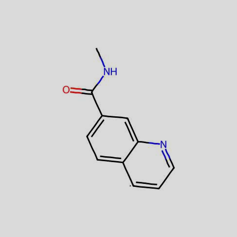 CNC(=O)c1ccc2[c]ccnc2c1